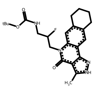 Cc1[nH]nc2c1c(=O)n(CC(F)CNC(=O)OC(C)(C)C)c1cc3c(cc21)CCCC3